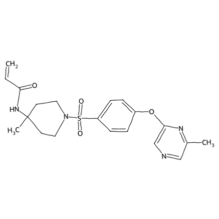 C=CC(=O)NC1(C)CCN(S(=O)(=O)c2ccc(Oc3cncc(C)n3)cc2)CC1